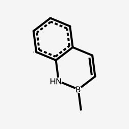 CB1C=Cc2ccc[c]c2N1